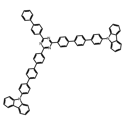 c1ccc(-c2ccc(-c3nc(-c4ccc(-c5ccc(-c6ccc(-n7c8ccccc8c8ccccc87)cc6)cc5)cc4)nc(-c4ccc(-c5ccc(-c6ccc(-n7c8ccccc8c8ccccc87)cc6)cc5)cc4)n3)cc2)cc1